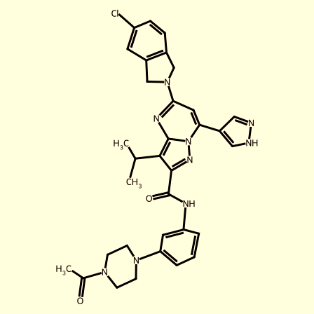 CC(=O)N1CCN(c2cccc(NC(=O)c3nn4c(-c5cn[nH]c5)cc(N5Cc6ccc(Cl)cc6C5)nc4c3C(C)C)c2)CC1